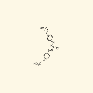 CC(N=Nc1cc[n+](CCC(=O)O)cc1)=NN=c1ccn(CCC(=O)O)cc1.[Cl-]